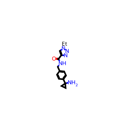 CCn1cc(C(=O)NCc2ccc(C3(N)CC3)cc2)nn1